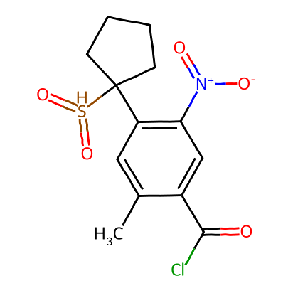 Cc1cc(C2([SH](=O)=O)CCCC2)c([N+](=O)[O-])cc1C(=O)Cl